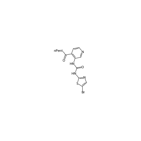 CCCCCC(=O)c1ccncc1NC(=O)Nc1ncc(Br)s1